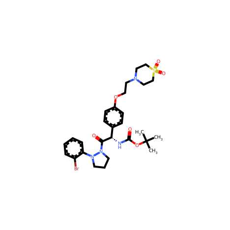 CC(C)(C)OC(=O)N[C@H](C(=O)N1CCCN1c1ccccc1Br)c1ccc(OCCN2CCS(=O)(=O)CC2)cc1